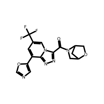 O=C(c1nnc2c(-c3cnco3)cc(C(F)(F)F)cn12)N1CC2CC1CO2